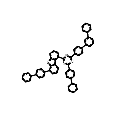 c1ccc(-c2ccc(-c3nc(-c4ccc(-c5cccc(-c6ccccc6)c5)cc4)nc(-c4cccc5sc6c(-c7ccc(-c8ccccc8)cc7)cccc6c45)n3)cc2)cc1